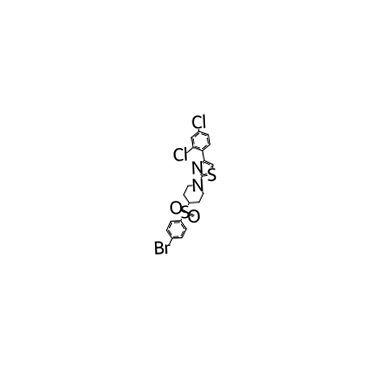 O=S(=O)(c1ccc(Br)cc1)C1CCN(c2nc(-c3ccc(Cl)cc3Cl)cs2)CC1